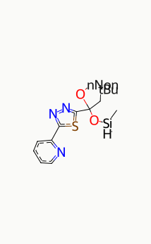 CCCCCCCCCOC(CC(C)(C)C)(O[SiH](C)C)c1nnc(-c2ccccn2)s1